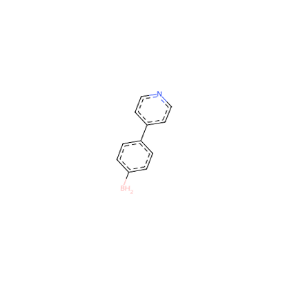 Bc1ccc(-c2ccncc2)cc1